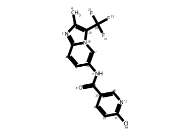 Cc1nc2ccc(NC(=O)c3ccc(Cl)nc3)cn2c1C(F)(F)F